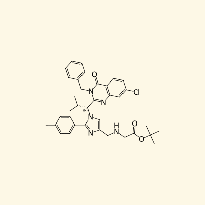 Cc1ccc(-c2nc(CNCC(=O)OC(C)(C)C)cn2[C@@H](c2nc3cc(Cl)ccc3c(=O)n2Cc2ccccc2)C(C)C)cc1